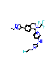 CCn1cc(-c2ccc3c(c2)C[C@H](C)N(CC(F)(F)F)[C@H]3c2ccc(NC3CN(CCCF)C3)cn2)cn1